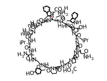 CCCC[C@H]1C(=O)N(C)[C@@H](CCCC)C(=O)N[C@@H](CC(C)C)C(=O)N[C@H](C(N)=O)CNCC(=O)N[C@@H](Cc2ccc(O)cc2)C(=O)N2CCCC[C@H]2C(=O)N[C@@H](CC(=O)O)C(=O)N2CCC[C@H]2C(=O)N[C@@H](CCC(N)=O)C(=O)N[C@@H](CC(C)C)C(=O)N2C[C@H](O)C[C@H]2C(=O)N[C@@H](Cc2c[nH]c3ccccc23)C(=O)N[C@@H](CC(N)=O)C(=O)N[C@@H](Cc2cn(CC(=O)O)c3ccccc23)C(=O)N1C